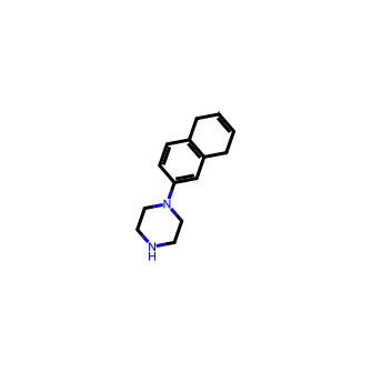 [C]1=CCc2cc(N3CCNCC3)ccc2C1